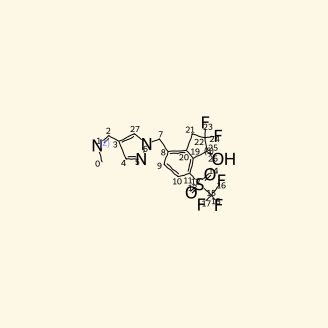 C/N=C\c1cnn(Cc2ccc(S(=O)(=O)C(F)(F)F)c3c2CC(F)(F)[C@H]3O)c1